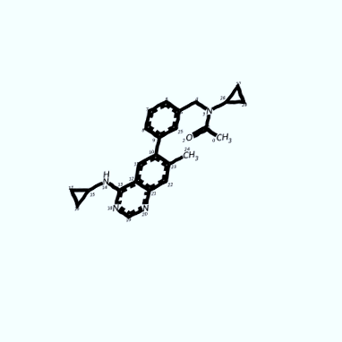 CC(=O)N(Cc1cccc(-c2cc3c(NC4CC4)ncnc3cc2C)c1)C1CC1